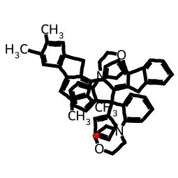 Cc1cc2c(cc1C)-c1cc(C)c(C)c(-c3ccc4c(c3C(C3=CC=CC3)(c3ccccc3N3CCOCC3)c3ccccc3N3CCOCC3)Cc3ccccc3-4)c1C2